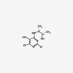 C[C@H](O)[C@@H](C)Nc1nc(Cl)nc(Cl)c1O